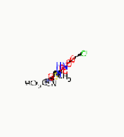 CN(CCOC(=O)NCCOCCOCCCCCCCl)c1ccc(-c2ccc(/C=C(\C#N)C(=O)O)o2)s1